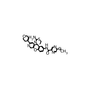 COc1cnc(C(=O)Nc2ccc3c(c2)[C@@]2(CCSC(N)=N2)c2cc(C4=CCOCC4)ncc2O3)cn1